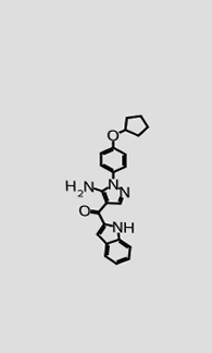 Nc1c(C(=O)c2cc3ccccc3[nH]2)cnn1-c1ccc(OC2CCCC2)cc1